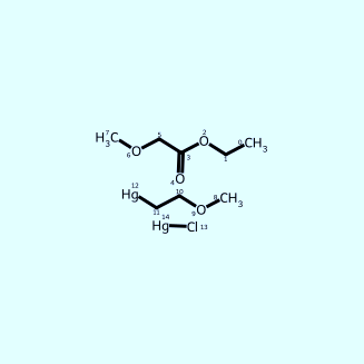 CCOC(=O)COC.COC[CH2][Hg].[Cl][Hg]